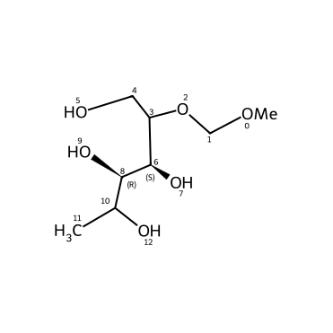 COCOC(CO)[C@@H](O)[C@H](O)C(C)O